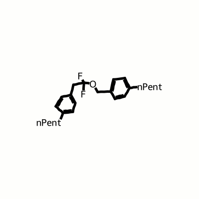 CCCCCc1ccc(COC(F)(F)Cc2ccc(CCCCC)cc2)cc1